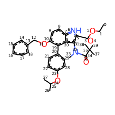 CCOC(=O)c1[nH]c2ccc(OCc3ccccc3)c(-c3ccc(OC(C)C)cc3)c2c1N(C)C(=O)C(C)(C)C